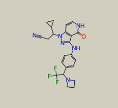 N#CCC(C1CC1)n1nc(Nc2ccc(C(N3CCC3)C(F)(F)F)cc2)c2c(=O)[nH]ccc21